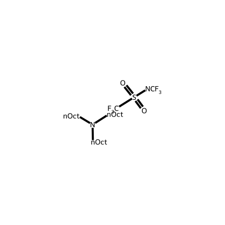 CCCCCCCCN(CCCCCCCC)CCCCCCCC.O=S(=O)(NC(F)(F)F)C(F)(F)F